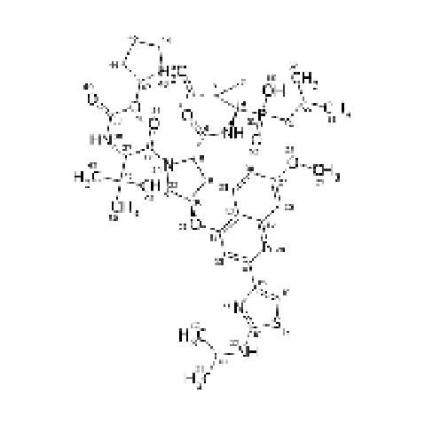 C=C[C@@H]1C[C@]1(NC(=O)[C@@H]1C[C@@H](Oc2cc(-c3csc(NC(C)C)n3)nc3cc(OC)ccc23)CN1C(=O)[C@@H](NC(=O)OC1CCCC1)C(C)(C)C)P(=O)(O)CC(C)C